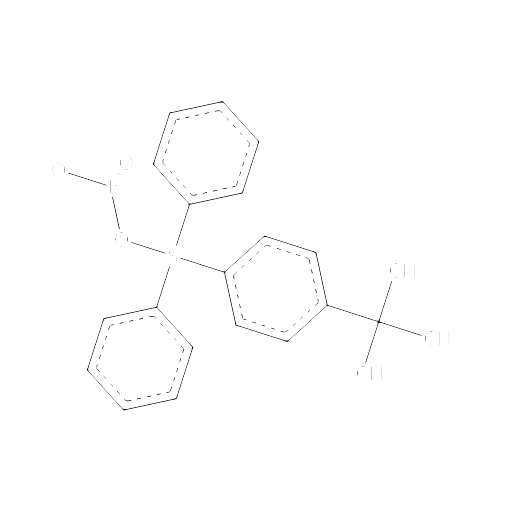 CC(C)(C)c1ccc(S(O[I+2]([O-])[O-])(c2ccccc2)c2ccccc2)cc1